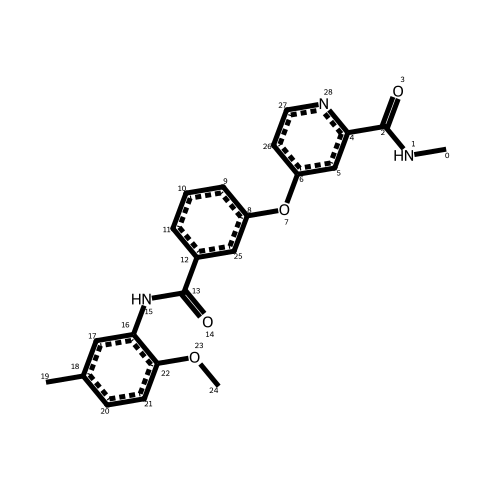 CNC(=O)c1cc(Oc2cccc(C(=O)Nc3cc(C)ccc3OC)c2)ccn1